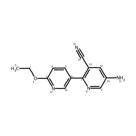 CCOc1ccc(-c2ncc(N)cc2C#N)cn1